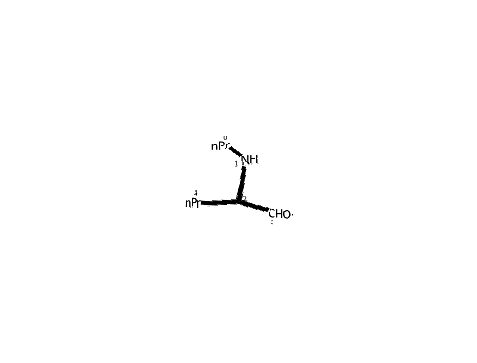 CCCNC([C]=O)CCC